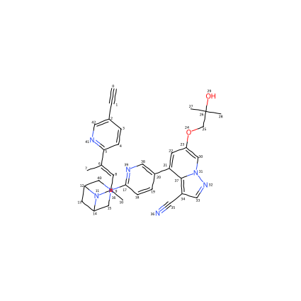 C#Cc1ccc(/C(C)=C/C(C)N2C3CC2CN(c2ccc(-c4cc(OCC(C)(C)O)cn5ncc(C#N)c45)cn2)C3)nc1